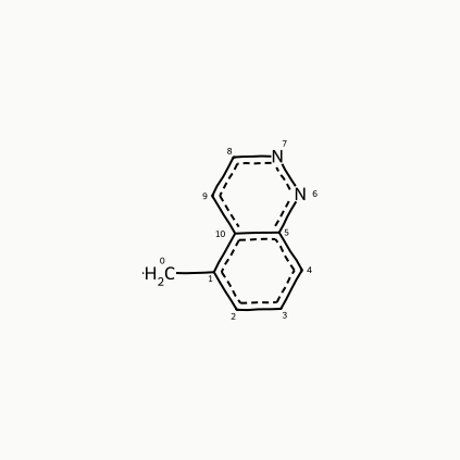 [CH2]c1cccc2nnccc12